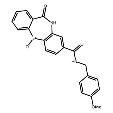 COc1ccc(CNC(=O)c2ccc3c(c2)NC(=O)c2ccccc2[S+]3[O-])cc1